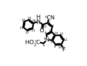 N#CC(=Cc1cn(CC(=O)O)c2cc(F)ccc12)C(=O)Nc1ccccc1